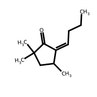 CCC/C=C1\C(=O)C(C)(C)CC1C